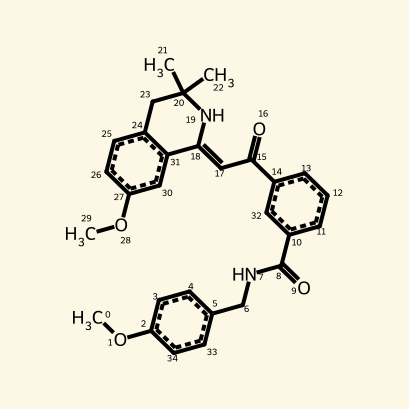 COc1ccc(CNC(=O)c2cccc(C(=O)C=C3NC(C)(C)Cc4ccc(OC)cc43)c2)cc1